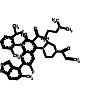 C=CC(=O)N1CCN(c2c(C(=O)NCCN(C)C)c(=O)n(-c3c(C)ccnc3C(C)C)c3nc(-c4c(C)ccc5[nH]ncc45)c(F)cc23)[C@@H](C)C1